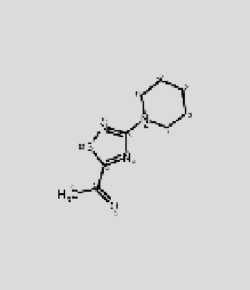 CC(=O)c1nc(N2CCCCC2)ns1